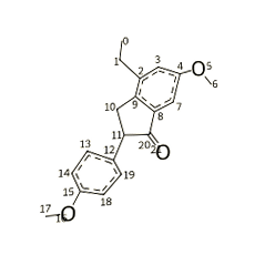 CCc1cc(OC)cc2c1CC(c1ccc(OC)cc1)C2=O